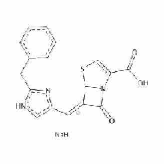 O=C(O)C1=CSC2/C(=C\c3c[nH]c(Cc4ccccc4)n3)C(=O)N12.[NaH]